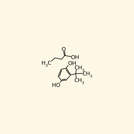 CC(C)(C)c1cc(O)ccc1O.CCCC(=O)O